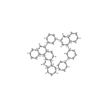 c1ccc(-c2cccc(-c3nc(-c4cccc(-c5nc6ccccc6c6c5ccc5c7ccccc7oc56)c4)nc4ccccc34)c2)cc1